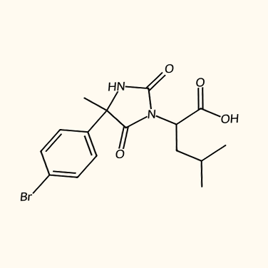 CC(C)CC(C(=O)O)N1C(=O)NC(C)(c2ccc(Br)cc2)C1=O